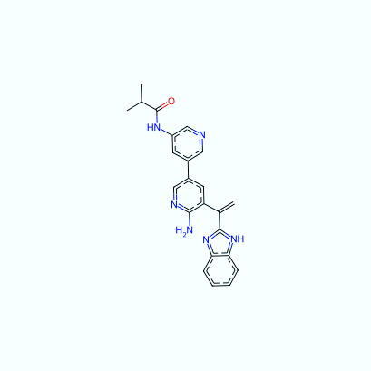 C=C(c1nc2ccccc2[nH]1)c1cc(-c2cncc(NC(=O)C(C)C)c2)cnc1N